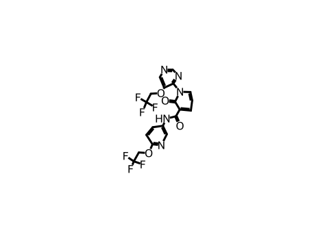 O=C(Nc1ccc(OCC(F)(F)F)nc1)c1cccn(-c2ncncc2OCC(F)(F)F)c1=O